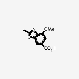 COc1cc(C(=O)O)cc2oc(C)nc12